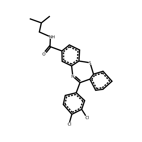 CC(C)CNC(=O)c1ccc2c(c1)N=C(c1ccc(Cl)c(Cl)c1)c1ccccc1S2